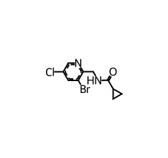 O=C(NCc1ncc(Cl)cc1Br)C1CC1